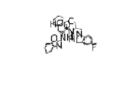 O=C(O)CC(CN1CCc2cc(F)ccc21)NC(=O)[C@H](CC1CCCCC1)Nc1nc2ccccc2o1